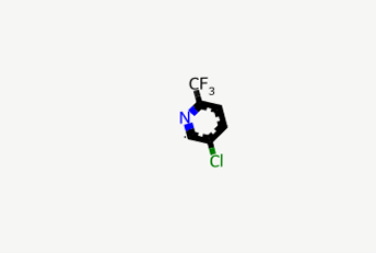 FC(F)(F)c1ccc(Cl)[c]n1